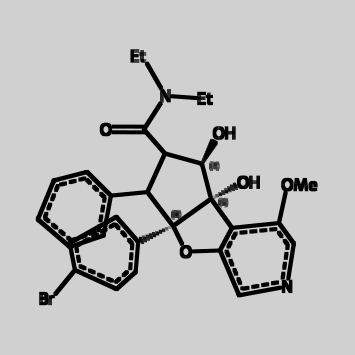 CCN(CC)C(=O)C1C(c2ccccc2)[C@]2(c3ccc(Br)cc3)Oc3cncc(OC)c3[C@]2(O)[C@@H]1O